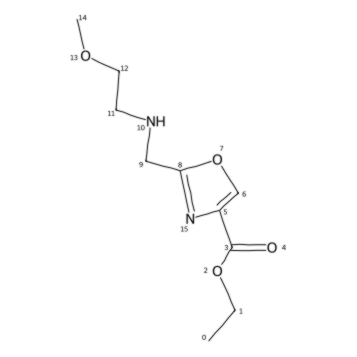 CCOC(=O)c1coc(CNCCOC)n1